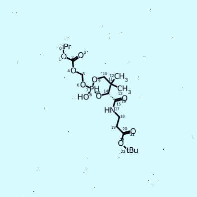 CC(C)OC(=O)OCO[PH]1(O)OCC(C)(C)[C@H](C(=O)NCCC(=O)OC(C)(C)C)O1